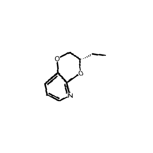 CC[C@H]1COc2cccnc2O1